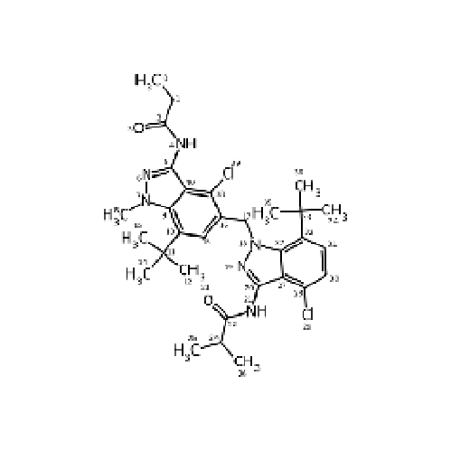 CCC(=O)Nc1nn(C)c2c(C(C)(C)C)cc(Cn3nc(NC(=O)C(C)C)c4c(Cl)ccc(C(C)(C)C)c43)c(Cl)c12